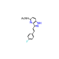 CC(=O)Nc1ccc2[nH]nc(C=Cc3ccc(F)cc3)c2n1